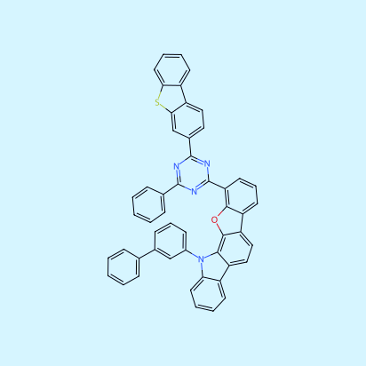 c1ccc(-c2cccc(-n3c4ccccc4c4ccc5c6cccc(-c7nc(-c8ccccc8)nc(-c8ccc9c(c8)sc8ccccc89)n7)c6oc5c43)c2)cc1